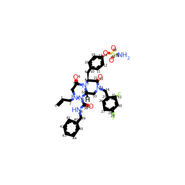 C=CCN1CC(=O)N2[C@@H](Cc3ccc(OS(N)(=O)=O)cc3)C(=O)N(Cc3ccc(F)cc3F)C[C@@H]2N1C(=O)NCc1ccccc1